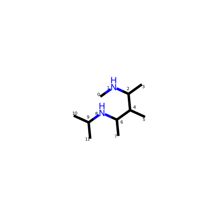 CNC(C)C(C)C(C)NC(C)C